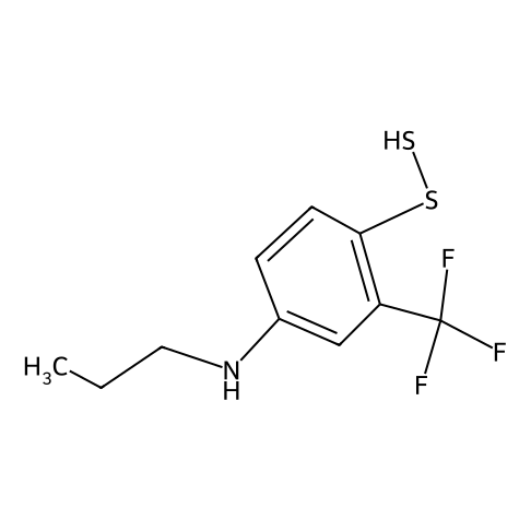 CCCNc1ccc(SS)c(C(F)(F)F)c1